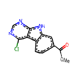 COC(=O)c1ccc2c(c1)[nH]c1ncnc(Cl)c12